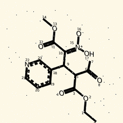 CCOC(=O)C(C(C)=O)C(C(C(=O)OC)=[N+]([O-])O)c1cccnc1